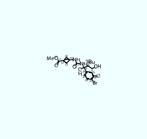 CC[C@H](C)C(CO)C(C)(NC(=O)NC12CC(C(=O)OC)(C1)C2)c1ccc(Br)c(Cl)c1